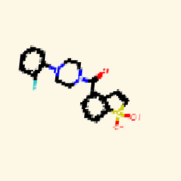 O=C(c1cccc2c1C=CS2(O)O)N1CCN(c2ccccc2F)CC1